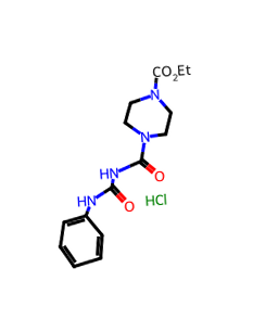 CCOC(=O)N1CCN(C(=O)NC(=O)Nc2ccccc2)CC1.Cl